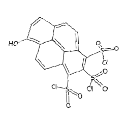 O=S(=O)(Cl)c1c(S(=O)(=O)Cl)c2ccc3ccc(O)c4ccc(c1S(=O)(=O)Cl)c2c34